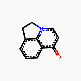 O=c1ccn2c3c(cccc13)CC2